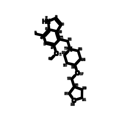 COc1cc(C)c2[nH]ccc2c1CN1CCC(OCC2CCOC2)CC1